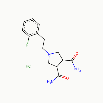 Cl.NC(=O)C1CN(CCc2ccccc2F)CC1C(N)=O